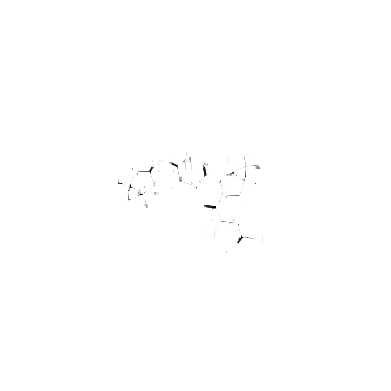 CC(C)(C)[C@H](NC(=O)C(F)(F)F)C(=O)N1C[C@H]2[C@@H]([C@H]1C(=O)NC(C[C@H]1C(=O)N[C@H]3C[C@H]31)C(N)=O)C2(C)C